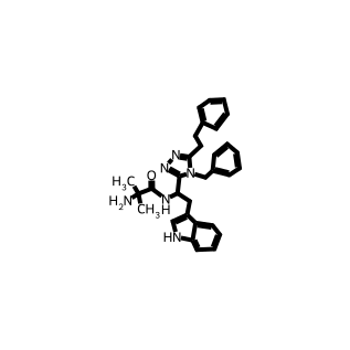 CC(C)(N)C(=O)NC(Cc1c[nH]c2ccccc12)c1nnc(CCc2ccccc2)n1Cc1ccccc1